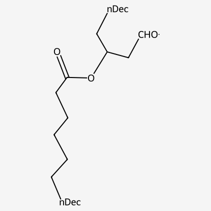 CCCCCCCCCCCCCCCC(=O)OC(C[C]=O)CCCCCCCCCCC